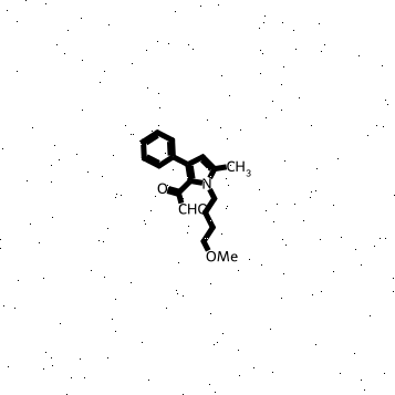 COCCCCn1c(C)cc(-c2ccccc2)c1C(=O)[C]=O